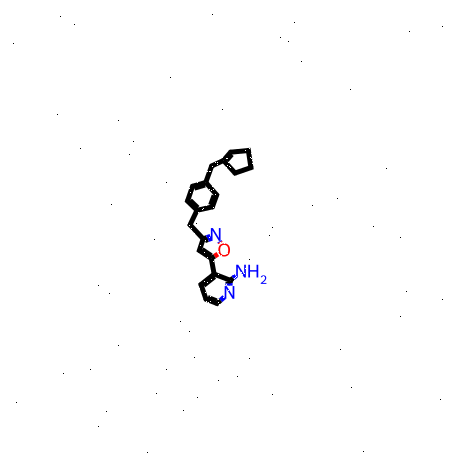 Nc1ncccc1-c1cc(Cc2ccc(CC3=CCCC3)cc2)no1